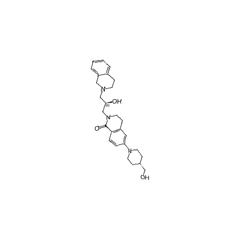 O=C1c2ccc(N3CCC(CO)CC3)cc2CCN1C[C@H](O)CN1CCc2ccccc2C1